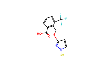 O=C(O)c1cccc(C(F)(F)F)c1COc1ccn(S)n1